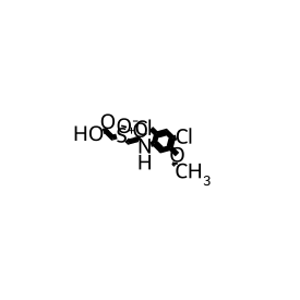 CCOc1cc(NC(=O)C[S+]([O-])CC(=O)O)c(Cl)cc1Cl